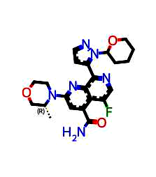 C[C@@H]1COCCN1c1cc(C(N)=O)c2c(F)cnc(-c3ccnn3C3CCCCO3)c2n1